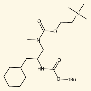 CN(CC(CC1CCCCC1)NC(=O)OC(C)(C)C)C(=O)OCC[Si](C)(C)C